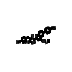 COC(=O)C(Cc1ccc(O)cc1)NC(=O)c1cc(C(=O)O)c2cc(-c3ccc(C#N)cc3)ccc2n1